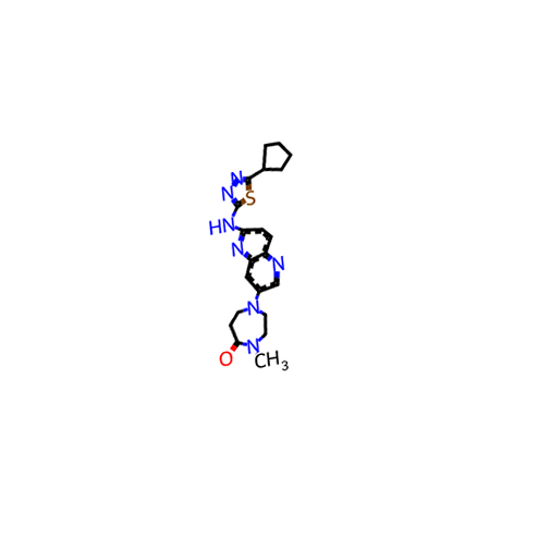 CN1CCN(c2cnc3ccc(Nc4nnc(C5CCCC5)s4)nc3c2)CCC1=O